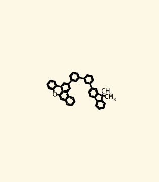 CC1(C)c2ccccc2-c2ccc(-c3cccc(-c4cccc(-c5cc6c7c(cc8ccccc8c7c5)Oc5ccccc5-6)c4)c3)cc21